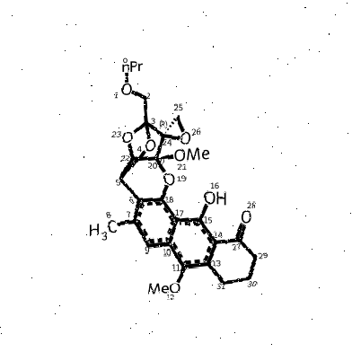 CCCOCC12OC3c4c(C)cc5c(OC)c6c(c(O)c5c4O[C@](OC)(C3O1)[C@@]21CO1)C(=O)CCC6